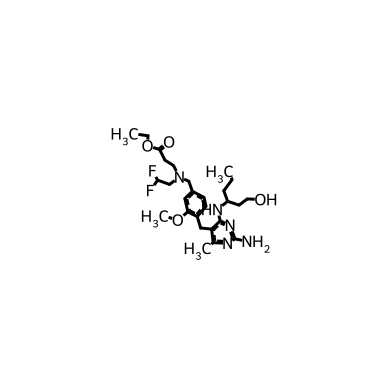 CCCC(CCO)Nc1nc(N)nc(C)c1Cc1ccc(CN(CCC(=O)OCC)CC(F)F)cc1OC